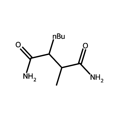 CCCCC(C(N)=O)C(C)C(N)=O